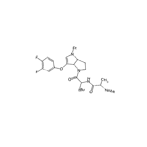 CCN1C=C(Oc2ccc(F)c(F)c2)C2C1CCN2C(=O)C(NC(=O)C(C)NC)C(C)(C)C